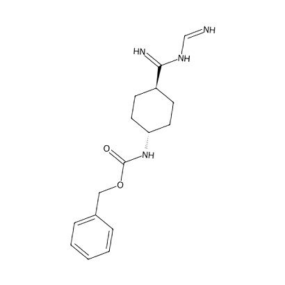 N=CNC(=N)[C@H]1CC[C@H](NC(=O)OCc2ccccc2)CC1